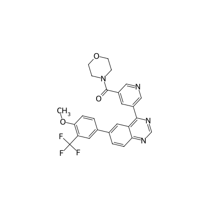 COc1ccc(-c2ccc3ncnc(-c4cncc(C(=O)N5CCOCC5)c4)c3c2)cc1C(F)(F)F